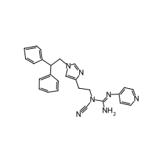 N#CN(CCc1cn(CC(c2ccccc2)c2ccccc2)cn1)C(N)=Nc1ccncc1